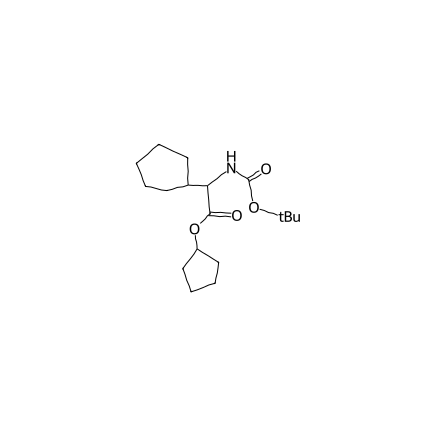 CC(C)(C)OC(=O)NC(C(=O)OC1CCCC1)C1CCCCC1